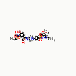 CCCC(C)[C@H](NS(=O)(=O)c1ccc(N2CCC(NC[C@@H](O)c3ccc(O)c(NS(C)(=O)=O)c3)CC2)cc1)C(=O)O